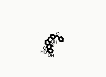 O=C(c1ccccc1)c1ccc(Cc2ccc3c(c2O)C(=O)c2ccc(O)c(O)c2C3=O)cc1